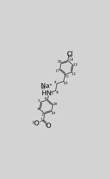 O=C([O-])c1ccc(NCCCc2ccc(Cl)cc2)cc1.[Na+]